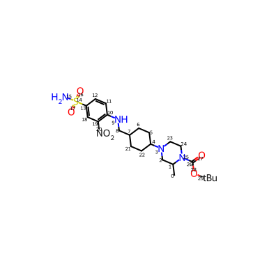 CC1CN(C2CCC(CNc3ccc(S(N)(=O)=O)cc3[N+](=O)[O-])CC2)CCN1C(=O)OC(C)(C)C